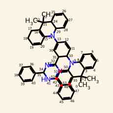 CC1(C)c2ccccc2N(C2C=CC(N3C4=C(CCC=C4)C(C)(C)C4C=CC=CC43)=CC2C2=NC(c3ccccc3)NC(c3ccccc3)=N2)c2ccccc21